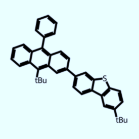 CC(C)(C)c1ccc2sc3cc(-c4ccc5c(-c6ccccc6)c6ccccc6c(C(C)(C)C)c5c4)ccc3c2c1